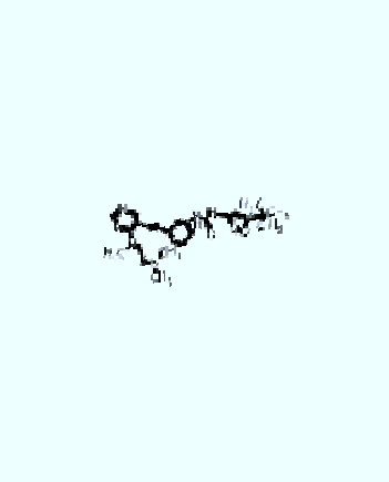 CN(C)CCN(C)c1ncncc1C#Cc1cccc(NC(=O)Nc2cc(C(C)(C)C)on2)c1